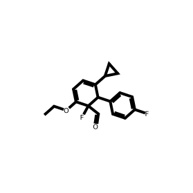 CCOC1=CC=C(C2CC2)C(c2ccc(F)cc2)C1(F)C=O